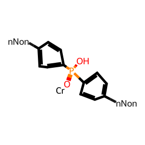 CCCCCCCCCc1ccc(P(=O)(O)c2ccc(CCCCCCCCC)cc2)cc1.[Cr]